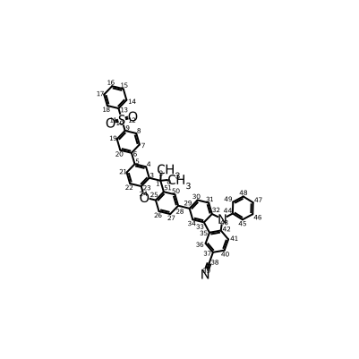 CC1(C)c2cc(-c3ccc(S(=O)(=O)c4ccccc4)cc3)ccc2Oc2ccc(-c3ccc4c(c3)c3cc(C#N)ccc3n4-c3ccccc3)cc21